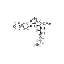 COc1cc2ncnc(Nc3ccc(N4CCOCC4)cc3)c2cc1NC(=O)N/N=C/c1ccc(C)s1